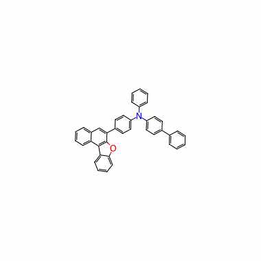 c1ccc(-c2ccc(N(c3ccccc3)c3ccc(-c4cc5ccccc5c5c4oc4ccccc45)cc3)cc2)cc1